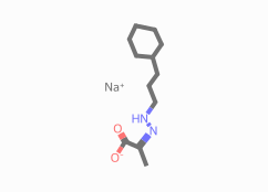 C/C(=N/NCCCC1CCCCC1)C(=O)[O-].[Na+]